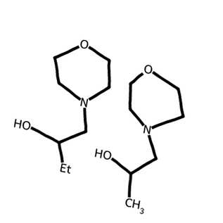 CC(O)CN1CCOCC1.CCC(O)CN1CCOCC1